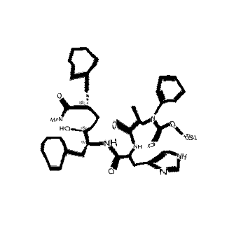 CNC(=O)[C@H](CC1CCCCC1)C[C@H](O)[C@H](CC1CCCCC1)NC(=O)C(Cc1c[nH]cn1)NC(=O)C(C)N(C(=O)OC(C)(C)C)c1ccccc1